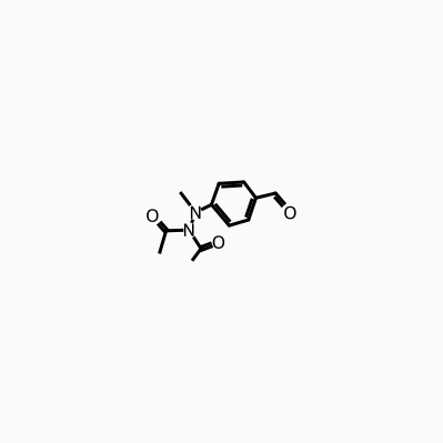 CC(=O)N(C(C)=O)N(C)c1ccc(C=O)cc1